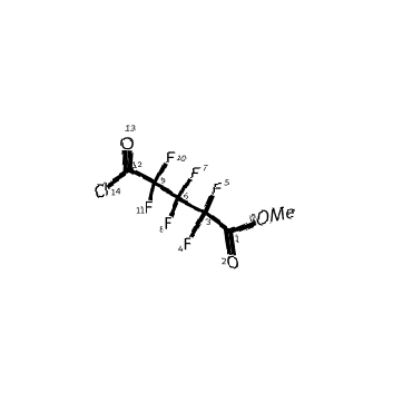 COC(=O)C(F)(F)C(F)(F)C(F)(F)C(=O)Cl